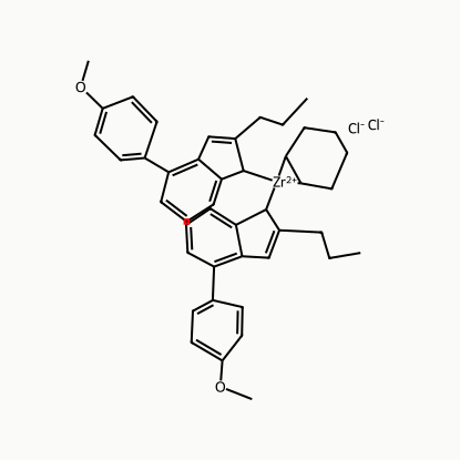 CCCC1=Cc2c(-c3ccc(OC)cc3)cccc2[CH]1[Zr+2]1([CH]2C(CCC)=Cc3c(-c4ccc(OC)cc4)cccc32)[CH]2CCCC[CH]21.[Cl-].[Cl-]